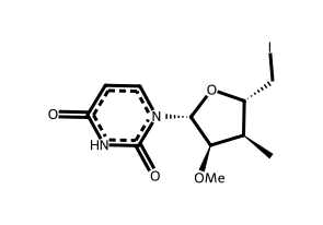 CO[C@@H]1[C@H](C)[C@@H](CI)O[C@H]1n1ccc(=O)[nH]c1=O